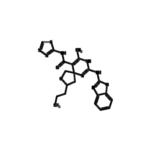 CCCC1CC2(CO1)N=C(Nc1nc3ccccc3o1)NC(C)=C2C(=O)Nc1nncs1